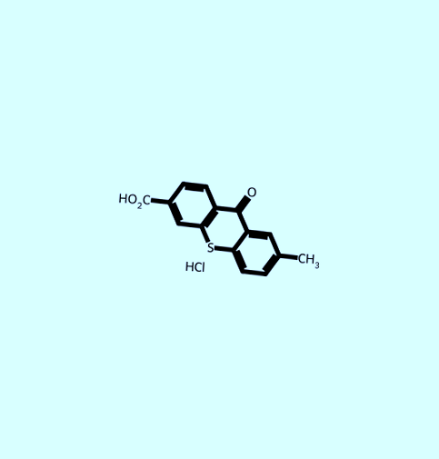 Cc1ccc2sc3cc(C(=O)O)ccc3c(=O)c2c1.Cl